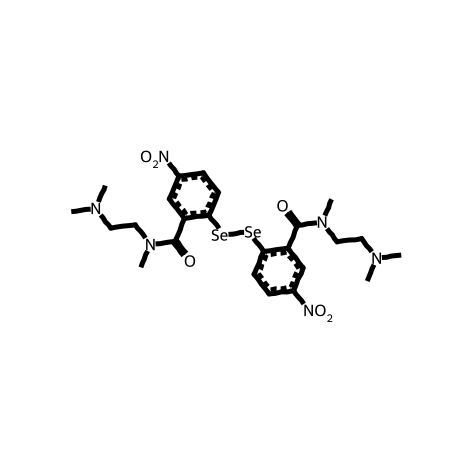 CN(C)CCN(C)C(=O)c1cc([N+](=O)[O-])ccc1[Se][Se]c1ccc([N+](=O)[O-])cc1C(=O)N(C)CCN(C)C